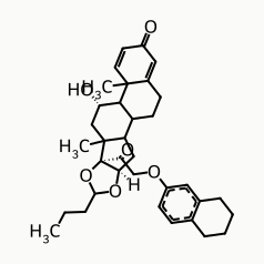 CCCC1O[C@@H]2CC3C4CCC5=CC(=O)C=CC5(C)C4[C@@H](O)CC3(C)[C@]2(C(=O)COc2ccc3c(c2)CCCC3)O1